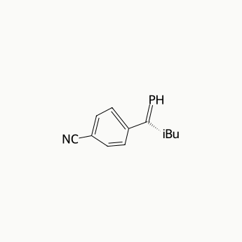 CC[C@@H](C)C(=P)c1ccc(C#N)cc1